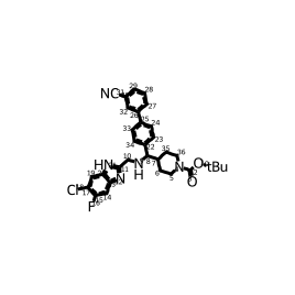 CC(C)(C)OC(=O)N1CCC(C(NCc2nc3cc(F)c(Cl)cc3[nH]2)c2ccc(-c3cccc(C#N)c3)cc2)CC1